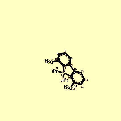 CC(C)S1(C(C)C)c2c(cccc2C(C)(C)C)-c2cccc(C(C)(C)C)c21